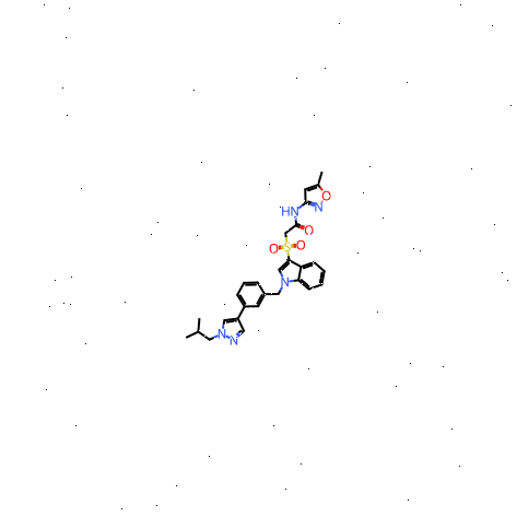 Cc1cc(NC(=O)CS(=O)(=O)c2cn(Cc3cccc(-c4cnn(CC(C)C)c4)c3)c3ccccc23)no1